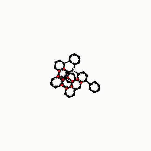 c1ccc(-c2ccc(N(c3ccccc3-c3cccc4cccc(-c5ccccc5)c34)c3ccccc3-c3cccc4sc5ccccc5c34)c(-c3ccccc3)c2)cc1